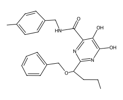 CCCC(OCc1ccccc1)c1nc(O)c(O)c(C(=O)NCc2ccc(C)cc2)n1